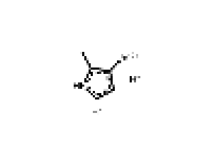 Cc1[pH]cc[c]1[Sc+2].[H-].[H-]